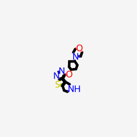 c1nc(O[C@H]2CC[C@H](N3CCOCC3)CC2)c2c3c(sc2n1)CCNC3